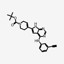 C#Cc1cccc(Nc2ncnc3[nH]c(C4=CCN(C(=O)OC(C)(C)C)CC4)cc23)c1